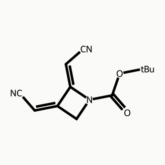 CC(C)(C)OC(=O)N1CC(=CC#N)C1=CC#N